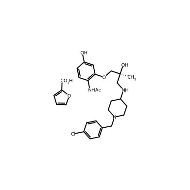 CC(=O)Nc1ccc(O)cc1OC[C@@](C)(O)CNC1CCN(Cc2ccc(Cl)cc2)CC1.O=C(O)c1ccco1